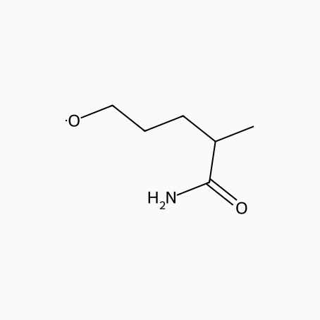 CC(CCC[O])C(N)=O